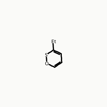 CCC1=CC=COS1